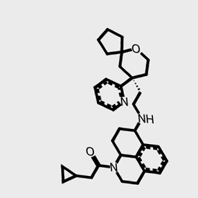 O=C(CC1CC1)N1CCc2cccc3c2C1CCC3NCC[C@@]1(c2ccccn2)CCOC2(CCCC2)C1